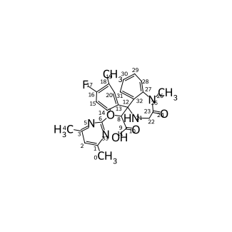 Cc1cc(C)nc(OC(C(=O)O)C2(c3ccc(F)c(C)c3)NCC(=O)N(C)c3ccccc32)n1